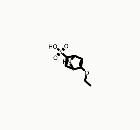 CCOC1=C[C]2N[C]1C=C2S(=O)(=O)O